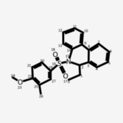 CCC1c2ccccc2-c2ccccc2N1S(=O)(=O)c1ccc(OC)c(C)c1